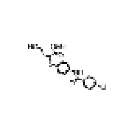 COC(=O)C(CCO)Sc1ccc(NC(=O)c2ccc(Cl)cc2)cc1